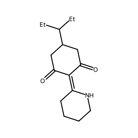 CCC(CC)C1CC(=O)C(=C2CCCCN2)C(=O)C1